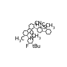 Cc1ccc2c(oc3c(-c4ccc5c(c4)[Si](C)(C)c4ccccc4-5)c(C#N)ccc32)c1-c1cc(F)c(C(C)(C)C)c[n+]1C